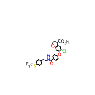 O=C(NCCc1ccc(SC(F)(F)F)cc1)c1ccc(Oc2cc3c(cc2Cl)C(C(=O)O)CCO3)cc1